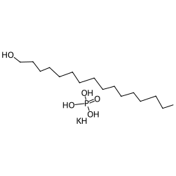 CCCCCCCCCCCCCCCCO.O=P(O)(O)O.[KH]